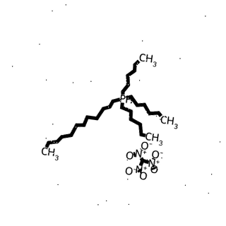 CCCCCCCCCCCC[PH](CCCCCC)(CCCCCC)CCCCCC.O=[N+]([O-])C([N+](=O)[O-])[N+](=O)[O-]